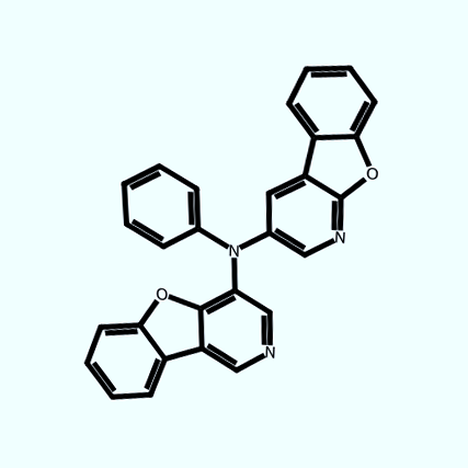 c1ccc(N(c2cnc3oc4ccccc4c3c2)c2cncc3c2oc2ccccc23)cc1